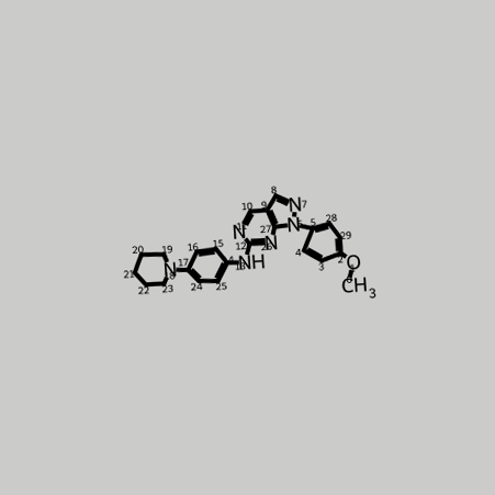 COc1ccc(-n2ncc3cnc(Nc4ccc(N5CCCCC5)cc4)nc32)cc1